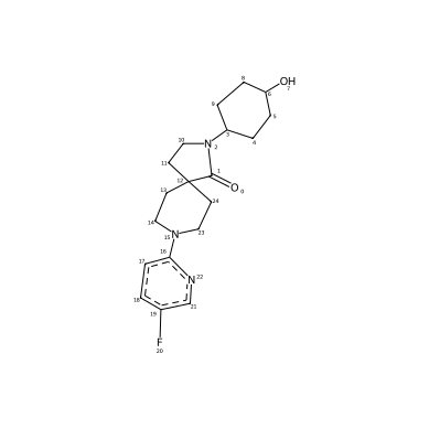 O=C1N(C2CCC(O)CC2)CCC12CCN(c1ccc(F)cn1)CC2